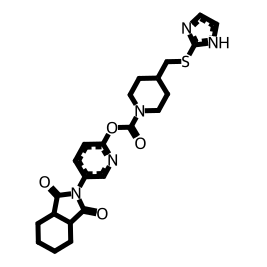 O=C(Oc1ccc(N2C(=O)C3CCCCC3C2=O)cn1)N1CCC(CSc2ncc[nH]2)CC1